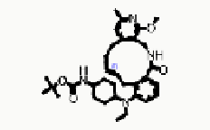 CCN(c1cccc2c1C/C=C/CCc1cc(C)nc(OC)c1CNC2=O)C1CCC(NC(=O)OC(C)(C)C)CC1